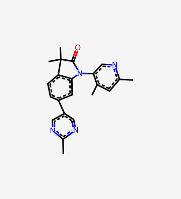 Cc1cc(C)c(N2C(=O)C(C)(C)c3ccc(-c4cnc(C)nc4)cc32)cn1